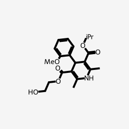 COc1ccccc1C1C(C(=O)OCCO)=C(C)NC(C)=C1C(=O)OC(C)C